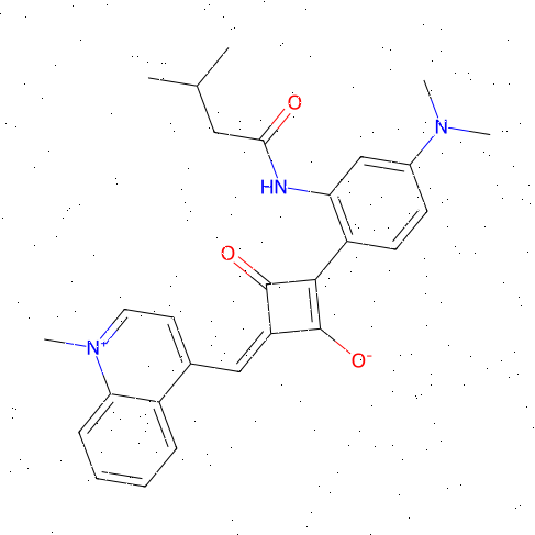 CC(C)CC(=O)Nc1cc(N(C)C)ccc1C1=C([O-])/C(=C/c2cc[n+](C)c3ccccc23)C1=O